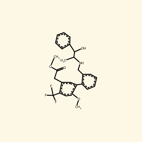 COC(=O)Cc1cc(-c2ccccc2CNC(C)C(O)c2ccccc2)c(OC)cc1C(F)(F)F